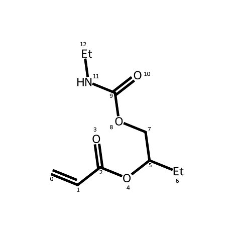 C=CC(=O)OC(CC)COC(=O)NCC